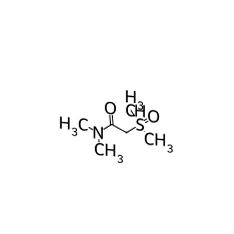 CN(C)C(=O)C[SH](C)(C)=O